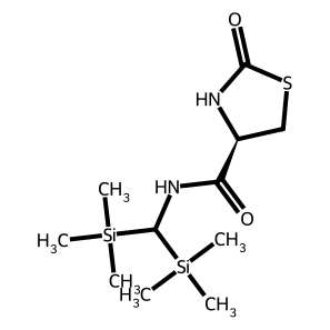 C[Si](C)(C)C(NC(=O)[C@@H]1CSC(=O)N1)[Si](C)(C)C